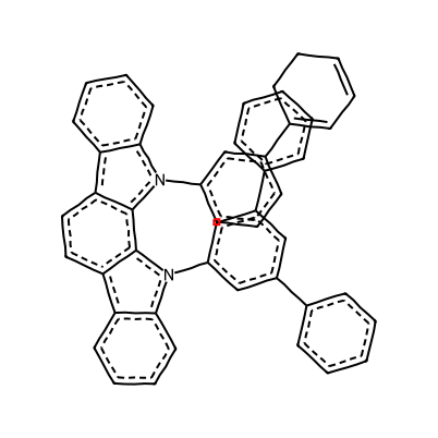 C1=CCCC(c2cccc(-n3c4ccccc4c4ccc5c6ccccc6n(-c6cc(-c7ccccc7)cc(-c7ccccc7)c6)c5c43)c2)=C1